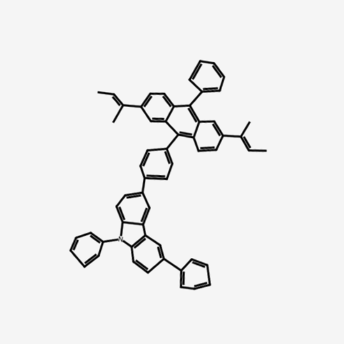 C/C=C(\C)c1ccc2c(-c3ccc(-c4ccc5c(c4)c4cc(-c6ccccc6)ccc4n5-c4ccccc4)cc3)c3cc(/C(C)=C/C)ccc3c(-c3ccccc3)c2c1